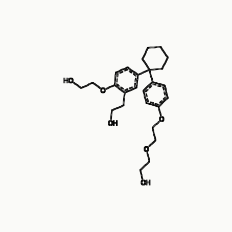 OCCOCCOc1ccc(C2(c3ccc(OCCO)c(CCO)c3)CCCCC2)cc1